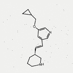 C(=C\[C@@H]1CCCNC1)/c1cncc(OCC2CC2)c1